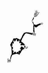 CNc1ccc(CNC(=O)OC(C)(C)C)nc1